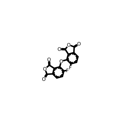 O=C1OC(=O)c2c1ccc(F)c2Oc1c(F)ccc2c1C(=O)OC2=O